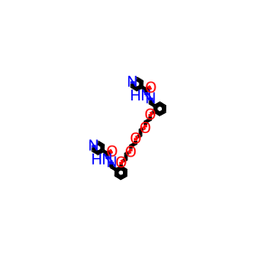 O=C(NN=Cc1ccccc1OCCOCCOCCOCCOc1ccccc1C=NNC(=O)c1ccncc1)c1ccncc1